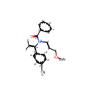 CCCOCCCN(C(=O)c1ccccc1)C(=C(C)C)c1ccc(C#N)cc1